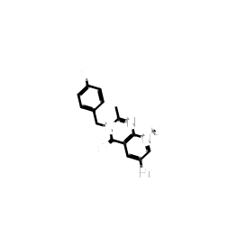 Cc1nc2c(cc(Br)c[n+]2[O-])c(=O)n1Cc1ccc(Cl)cc1